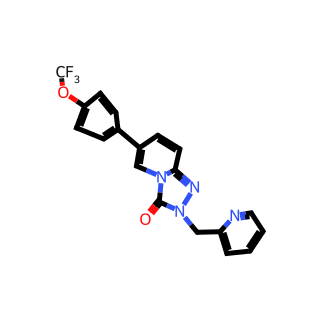 O=c1n(Cc2ccccn2)nc2ccc(-c3ccc(OC(F)(F)F)cc3)cn12